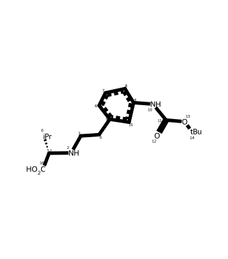 CC(C)[C@H](NCCc1cccc(NC(=O)OC(C)(C)C)c1)C(=O)O